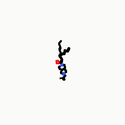 CCCCC(CCCC)CCC(=O)N1CCC2(CCN(CC(C)C)CC2)CC1